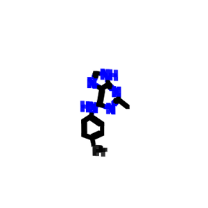 Cc1nc(Nc2ccc(C(C)C)cc2)c2nc[nH]c2n1